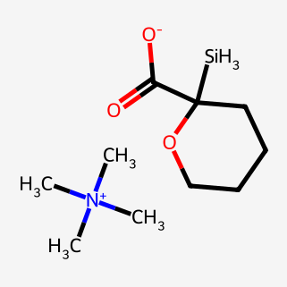 C[N+](C)(C)C.O=C([O-])C1([SiH3])CCCCO1